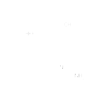 CCCc1cc(-c2cccc(N)n2)c(C2CCC2)cc1O